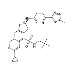 Cn1nnc(-c2ccc(N[C@@H]3Cc4cc5cnc(C6CC6)cc5c(S(=O)(=O)NCC(C)(C)F)c4C3)cn2)n1